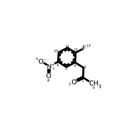 CC(=O)Cc1cc([N+](=O)[O-])ccc1F